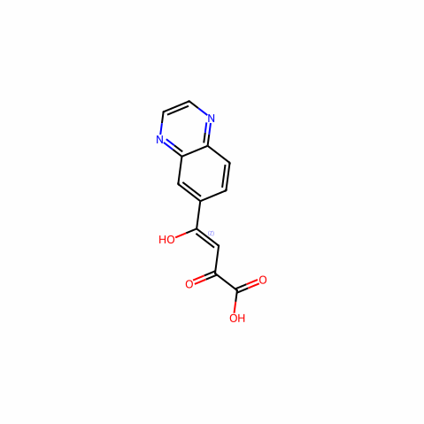 O=C(O)C(=O)/C=C(\O)c1ccc2nccnc2c1